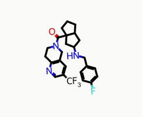 O=C(N1CCc2ncc(C(F)(F)F)cc2C1)C12CCCC1CC(NCc1ccc(F)cc1)C2